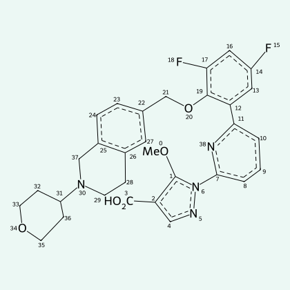 COc1c(C(=O)O)cnn1-c1cccc(-c2cc(F)cc(F)c2OCc2ccc3c(c2)CCN(C2CCOCC2)C3)n1